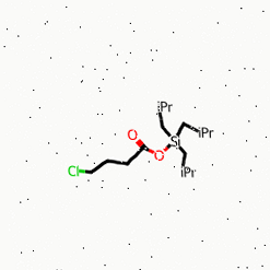 CC(C)C[Si](CC(C)C)(CC(C)C)OC(=O)CCCCl